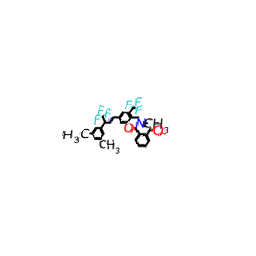 Cc1cc(C)cc(C(/C=C/c2ccc(CN(C)C(=O)c3ccccc3C=O)c(C(F)(F)F)c2)C(F)(F)F)c1